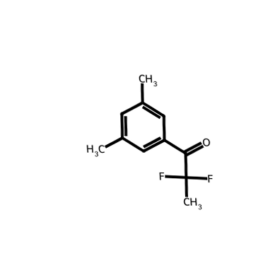 Cc1cc(C)cc(C(=O)C(C)(F)F)c1